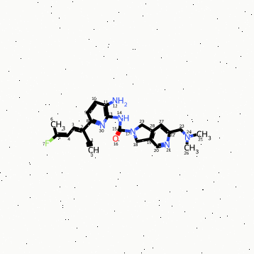 C#C/C(=C\C=C(/C)F)c1ccc(N)c(NC(=O)N2Cc3cnc(CN(C)C)cc3C2)n1